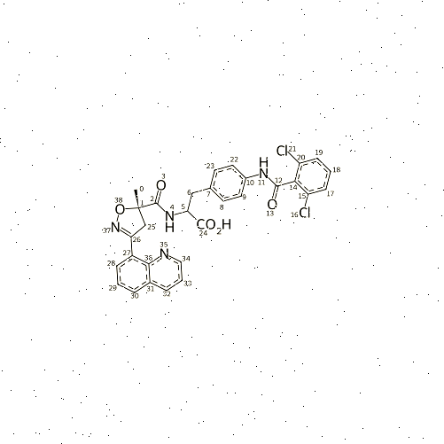 C[C@@]1(C(=O)NC(Cc2ccc(NC(=O)c3c(Cl)cccc3Cl)cc2)C(=O)O)CC(c2cccc3cccnc23)=NO1